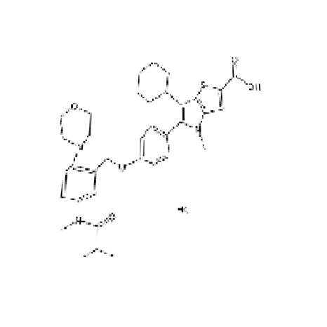 CC(C)C(=O)N(C)c1ccc(N2CCOCC2)c(COc2ccc(-c3c(C4CCCCC4)c4sc(C(=O)O)cc4n3C)cc2)c1.Cl